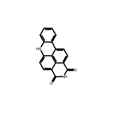 O=c1[nH]c(=O)c2ccc3c4ccccc4[nH]c4ccc1c2c43